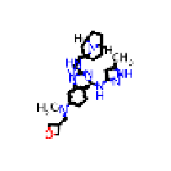 Cc1cc(Nc2nc(N[C@H]3CC[C@H]4CC[C@H](C3)N4CCC#N)nc3cc(N(C)CC4COC4)ccc23)n[nH]1